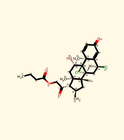 CCCC(=O)OCC(=O)[C@H]1[C@H](C)C[C@H]2[C@@H]3C[C@H](Cl)C4=CC(=O)C=C[C@]4(C)[C@@]3(Cl)[C@@H](O)C[C@@]21C